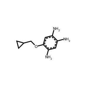 Nc1cc(N)c(OCC2CC2)cc1N